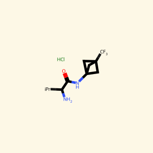 CC(C)C(N)C(=O)NC12CC(C(F)(F)F)(C1)C2.Cl